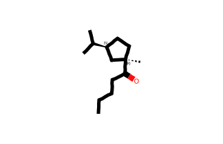 CCCCC(=O)[C@]1(C)CC[C@H](C(C)C)C1